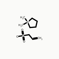 C=CCS(=O)(=O)[O-].C[N+]1(C)CCCC1